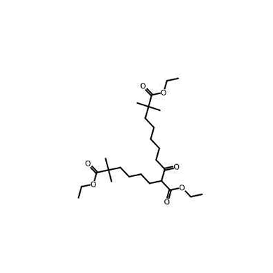 CCOC(=O)C(CCCCC(C)(C)C(=O)OCC)C(=O)CCCCCC(C)(C)C(=O)OCC